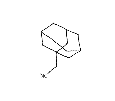 N#CCC12CC3[CH]C(CC(C3)C1)C2